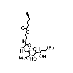 C#CCCCC(=O)OCCNC(=O)[C@H](C)NC(=O)[C@H](OC)[C@H](O)[C@@H](O)[C@H](O)/C=C/C(C)(C)C